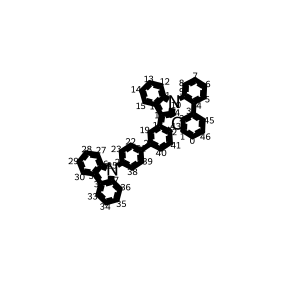 c1ccc(-c2ccccc2-n2c3ccccc3c3c4cc(-c5ccc(-n6c7ccccc7c7ccccc76)cc5)ccc4oc32)cc1